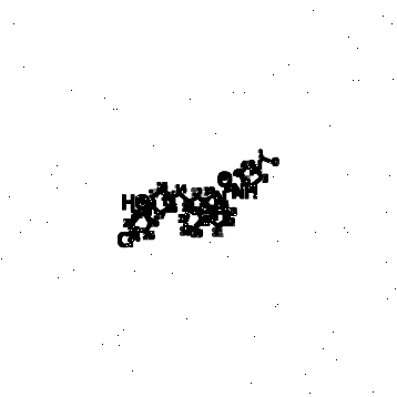 CCN1CCC(NC(=O)NCC(CCCN2CCC(O)(c3ccc(Cl)cc3)CC2)(c2ccccc2)c2ccccc2)CC1